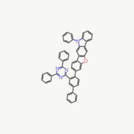 c1ccc(-c2ccc(-c3ccc4c(c3)oc3cc5c6ccccc6n(-c6ccccc6)c5cc34)c(-c3nc(-c4ccccc4)nc(-c4ccccc4)n3)c2)cc1